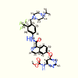 COC(=O)Nc1cc(Oc2ccc3c(C(=O)Nc4ccc(CN5CCN(C(C)C)CC5)c(C(F)(F)F)c4)nccc3c2)ncn1